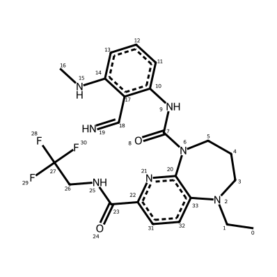 CCN1CCCN(C(=O)Nc2cccc(NC)c2C=N)c2nc(C(=O)NCC(F)(F)F)ccc21